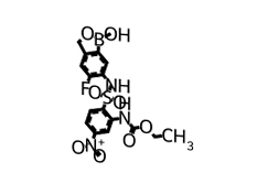 CCOC(=O)Nc1cc([N+](=O)[O-])ccc1S(=O)(=O)Nc1cc2c(cc1F)COB2O